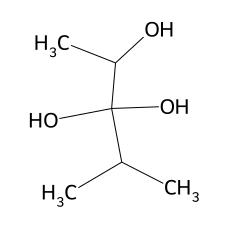 CC(C)C(O)(O)C(C)O